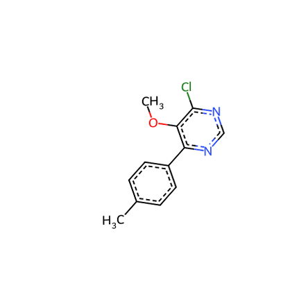 COc1c(Cl)ncnc1-c1ccc(C)cc1